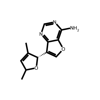 CC1=CC(C)O[C@H]1c1coc2c(N)ncnc12